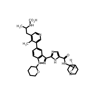 Cc1c(CC(C)NC(=O)O)cncc1-c1ccc2c(c1)c(-c1ncc(C(=O)N[C@@H]3CN4CCC3CC4)[nH]1)nn2C1CCCCO1